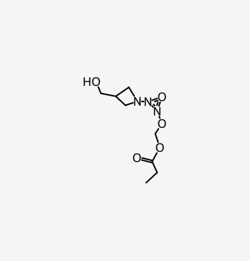 CCC(=O)OCOn1on1N1CC(CO)C1